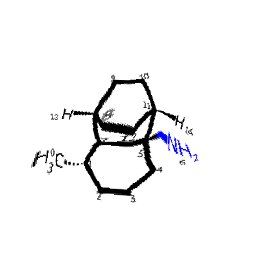 C[C@H]1CCC[C@]2(N)C1[C@@H]1CC[C@H]2C1